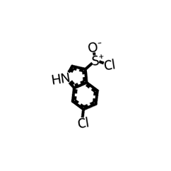 [O-][S+](Cl)c1c[nH]c2cc(Cl)ccc12